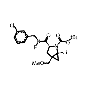 COC[C@@]12C[C@@H](C(=O)N(F)Cc3cccc(Cl)c3)N(C(=O)OC(C)(C)C)[C@@H]1C2